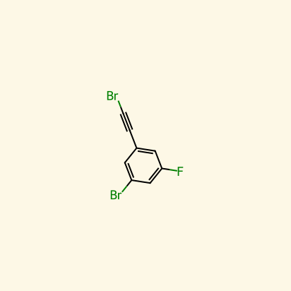 Fc1cc(Br)cc(C#CBr)c1